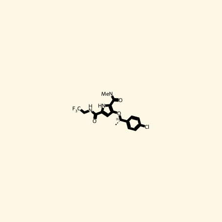 CNC(=O)c1[nH]c(C(=O)NCC(F)(F)F)cc1O[C@@H](C)c1ccc(Cl)cc1